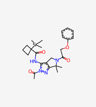 CC(=O)n1nc2c(c1NC(=O)C1([Si](C)(C)C)CCC1)CN(C(=O)COc1ccccc1)C2(C)C